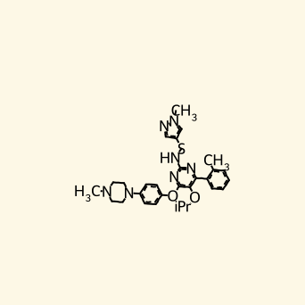 Cc1ccccc1-c1nc(NSc2cnn(C)c2)nc(Oc2ccc(N3CCN(C)CC3)cc2)c1OC(C)C